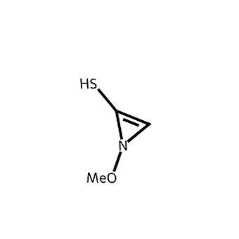 CON1C=C1S